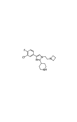 Fc1ccc(-c2cn(CCN3CCC3)c(C3CCNCC3)n2)cc1Cl